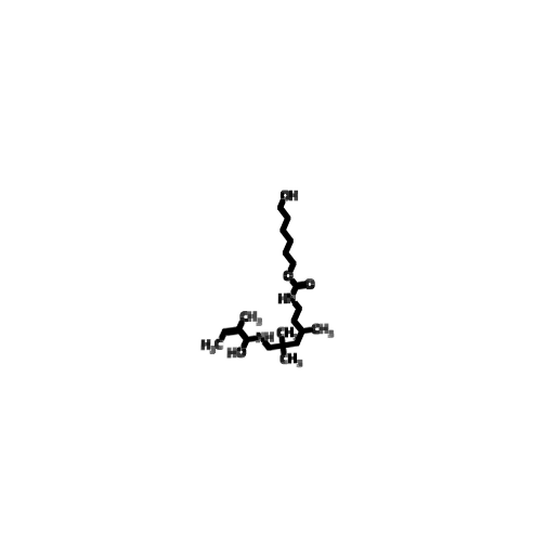 CC=C(C)C(O)NCC(C)(C)CC(C)CCNC(=O)OCCCCCCO